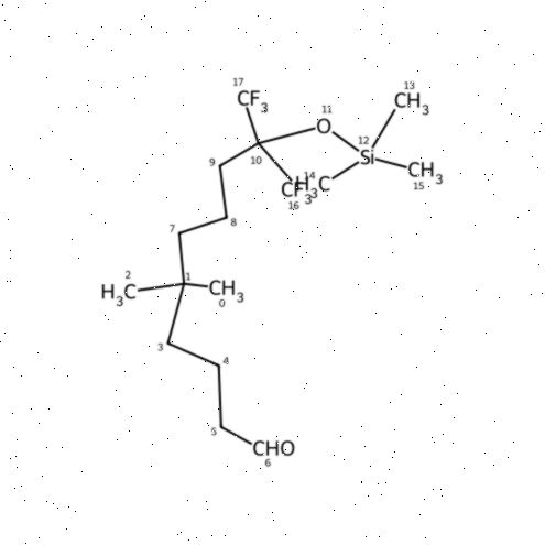 CC(C)(CCCC=O)CCCC(O[Si](C)(C)C)(C(F)(F)F)C(F)(F)F